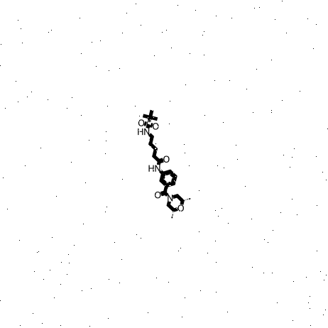 C[C@@H]1CN(C(=O)c2cccc(NC(=O)CCCCNS(=O)(=O)C(C)(C)C)c2)C[C@H](C)O1